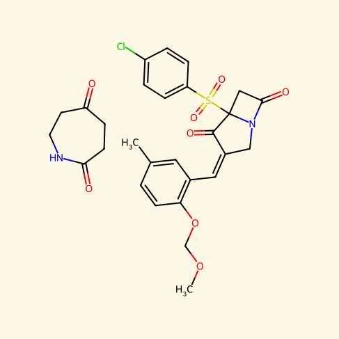 COCOc1ccc(C)cc1C=C1CN2C(=O)CC2(S(=O)(=O)c2ccc(Cl)cc2)C1=O.O=C1CCNC(=O)CC1